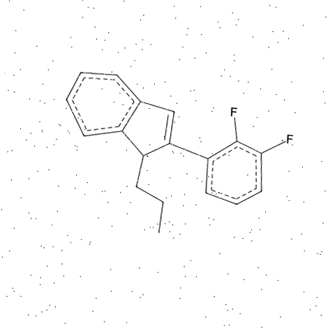 CCC[C]1C(c2cccc(F)c2F)=Cc2ccccc21